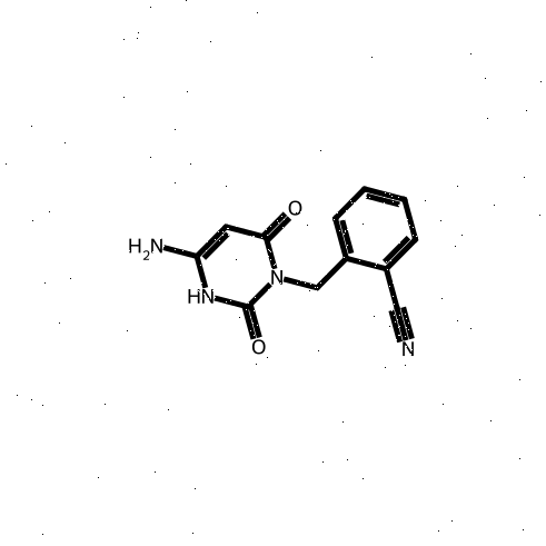 N#Cc1ccccc1Cn1c(=O)cc(N)[nH]c1=O